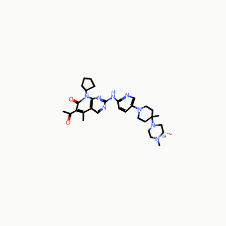 CC(=O)c1c(C)c2cnc(Nc3ccc(N4CCC(C)(N5CCN(C)[C@@H](C)C5)CC4)cn3)nc2n(C2CCCC2)c1=O